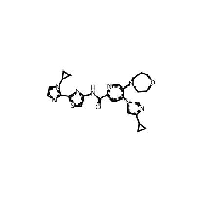 O=C(Nc1csc(-c2nccn2C2CC2)n1)c1cc(-n2cnc(C3CC3)c2)c(N2CCCOCC2)cn1